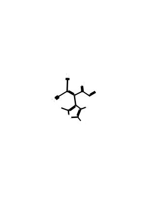 C=C(C=O)C(=C(C#N)C#N)c1c(C)sc(C)c1C